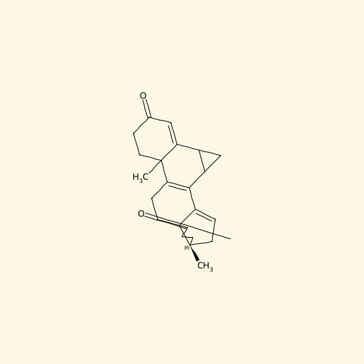 CC12CCC(=O)C=C1C1CC1C1=C2CCC23C(=O)CC[C@]2(C)CC=C13